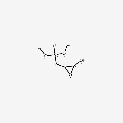 CO[Si](C)(CC1OC1O)OC